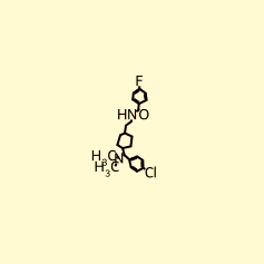 CN(C)C(c1ccc(Cl)cc1)C1CCC(CCNC(=O)c2ccc(F)cc2)CC1